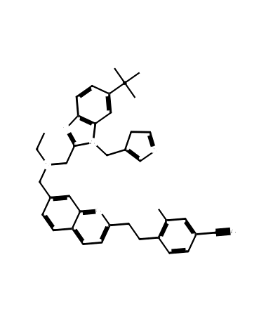 CCN(Cc1ccc2ccc(CCc3ccc(C#N)cc3F)nc2c1)Cc1nc2ccc(C(C)(C)C)cc2n1CC1=CN=CC1